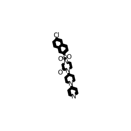 O=C1CN(S(=O)(=O)c2ccc3cc(Cl)ccc3c2)CCN1C1CCN(c2ccncc2)CC1